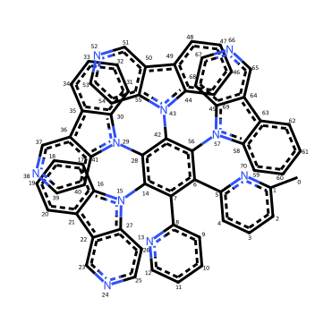 Cc1cccc(-c2c(-c3ccccn3)c(-n3c4ccccc4c4cnccc43)c(-n3c4ccccc4c4cnccc43)c(-n3c4ccccc4c4cnccc43)c2-n2c3ccccc3c3cnccc32)n1